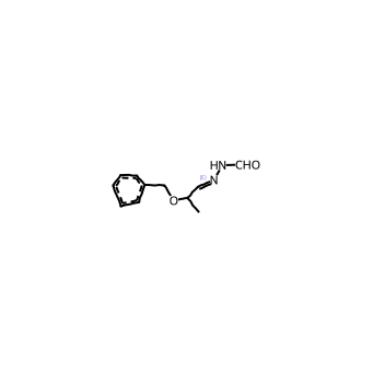 CC(/C=N/NC=O)OCc1ccccc1